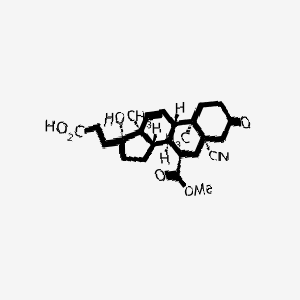 COC(=O)[C@@H]1C[C@]2(C#N)CC(=O)CC[C@]2(C)[C@H]2C=C[C@@]3(C)[C@@H](CC[C@@]3(O)CCC(=O)O)[C@H]12